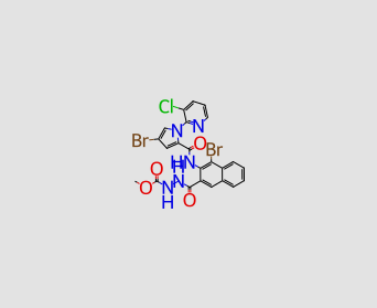 COC(=O)NNC(=O)c1cc2ccccc2c(Br)c1NC(=O)c1cc(Br)cn1-c1ncccc1Cl